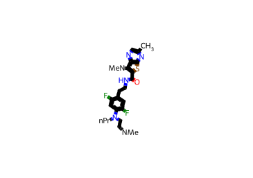 CCCN(CCNC)c1cc(F)c(CCNC(=O)c2sc3nc(C)cnc3c2NC)cc1F